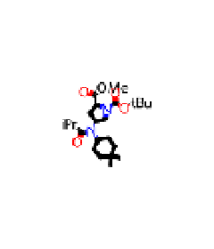 COC(=O)[C@@H]1C[C@H](N(C(=O)C(C)C)C2CCC(C)(C)CC2)CN1C(=O)OC(C)(C)C